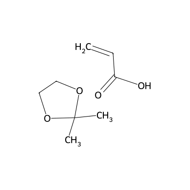 C=CC(=O)O.CC1(C)OCCO1